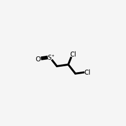 O=[S+]CC(Cl)CCl